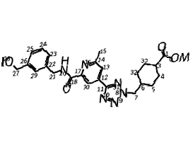 COC(=O)C1CCC(Cn2nnc(-c3cc(C)nc(C(=O)NCc4cccc(CO)c4)c3)n2)CC1